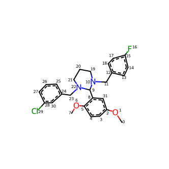 COc1ccc(OC)c(C2N(Cc3ccc(F)cc3)CCCN2Cc2cccc(Cl)c2)c1